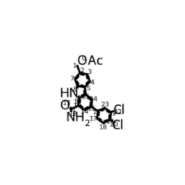 CC(=O)OCc1ccc2c(c1)[nH]c1c(C(N)=O)cc(-c3ccc(Cl)c(Cl)c3)cc12